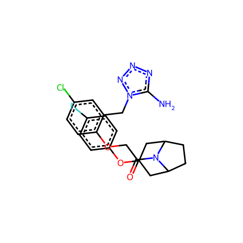 Nc1nnnn1Cc1cc(Cl)ccc1OCC(=O)N1C2CCC1CC(Oc1ccc(F)cc1)C2